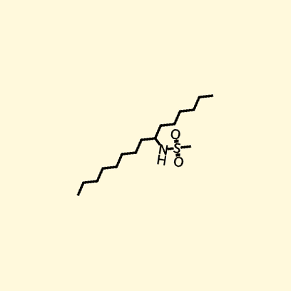 CCCCCCCCC(CCCCCC)NS(C)(=O)=O